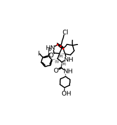 CC1(C)CCC2(CC1)N[C@@H](C(=O)N[C@H]1CC[C@H](O)CC1)[C@H](c1cccc(I)c1F)[C@]21C(=O)Nc2cc(Cl)ccc21